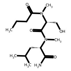 CCCC(=O)N(C)[C@H](CO)C(=O)N(C)[C@@H](CC(C)C)C(N)=O